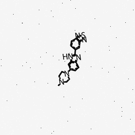 CN1CCN(c2ccc3nc(-c4ccc5nsnc5c4)[nH]c3c2)CC1